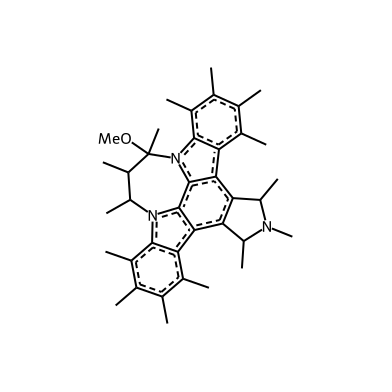 COC1(C)C(C)C(C)n2c3c(C)c(C)c(C)c(C)c3c3c4c(c5c6c(C)c(C)c(C)c(C)c6n1c5c32)C(C)N(C)C4C